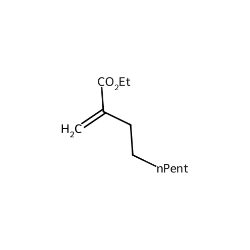 C=C(CCCCCCC)C(=O)OCC